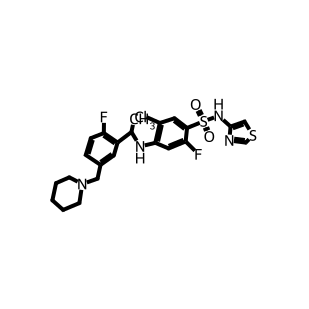 CC(Nc1cc(F)c(S(=O)(=O)Nc2cscn2)cc1Cl)c1cc(CN2CCCCC2)ccc1F